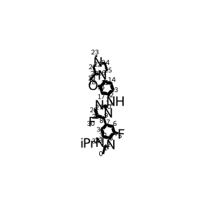 Cc1nc2c(F)cc(-c3nc(Nc4ccc5c(c4)OCC4CN(C)CCN54)ncc3F)cc2n1C(C)C